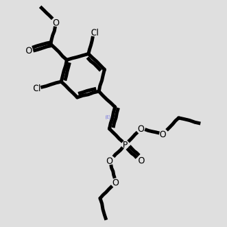 CCOOP(=O)(/C=C/c1cc(Cl)c(C(=O)OC)c(Cl)c1)OOCC